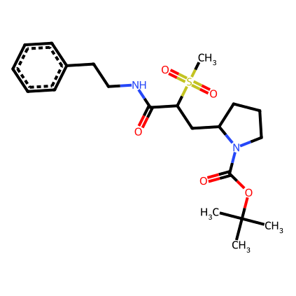 CC(C)(C)OC(=O)N1CCCC1CC(C(=O)NCCc1ccccc1)S(C)(=O)=O